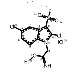 CCOC(=N)Cn1c(Cl)c(S(C)(=O)=O)c2cc(Cl)ccc21.Cl